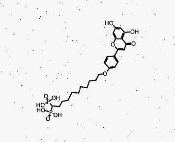 O=c1cc(-c2ccc(OCCCCCCCCCCC(P(=O)(O)O)P(=O)(O)O)cc2)oc2cc(O)cc(O)c12